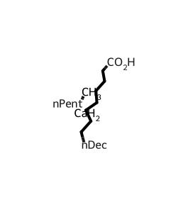 CCCCCC.CCCCCCCCCCCCCCCCCC(=O)O.[CaH2]